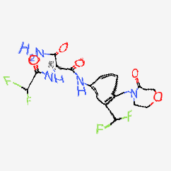 NC(=O)[C@@H](NC(=O)C(F)F)C(=O)Nc1ccc(N2CCOCC2=O)c(C(F)F)c1